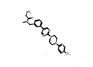 CN(Cc1cccc(-c2cnc(N3CCN(c4ccc(C(F)(F)F)cn4)CC3)nc2)c1)C(=O)CN